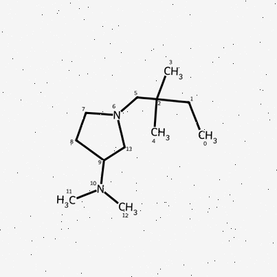 CCC(C)(C)CN1CCC(N(C)C)C1